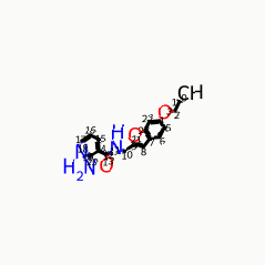 C#CCOc1ccc2cc(CNC(=O)c3cccnc3N)oc2c1